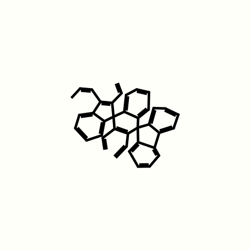 C=CC1=C(/C=C\C)c2ccccc2C12C(C=C)=C(C=C)C1(c3ccccc3-c3ccccc31)c1ccccc12